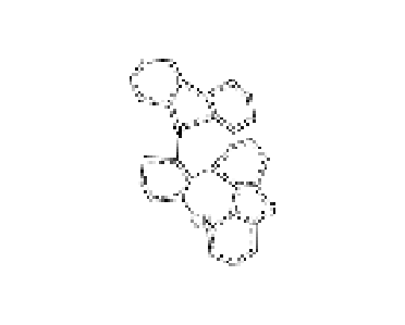 N#Cc1cccc(-n2c3ccccc3c3ccccc32)c1-c1cccc2sc3ccccc3c12